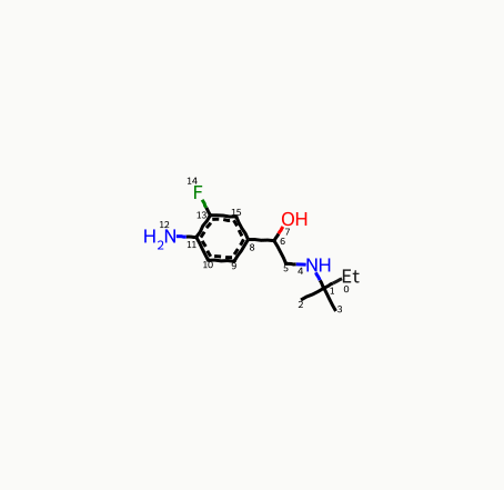 CCC(C)(C)NCC(O)c1ccc(N)c(F)c1